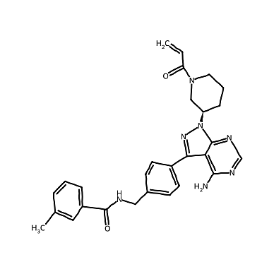 C=CC(=O)N1CCC[C@@H](n2nc(-c3ccc(CNC(=O)c4cccc(C)c4)cc3)c3c(N)ncnc32)C1